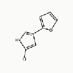 Clc1cc(-c2ccco2)c[nH]1